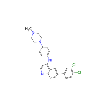 CN1CCN(c2ccc(Nc3ccnc4ccc(-c5ccc(Cl)c(Cl)c5)cc34)cc2)CC1